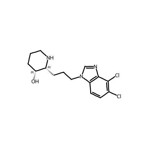 O[C@@H]1CCCN[C@@H]1CCCn1cnc2c(Cl)c(Cl)ccc21